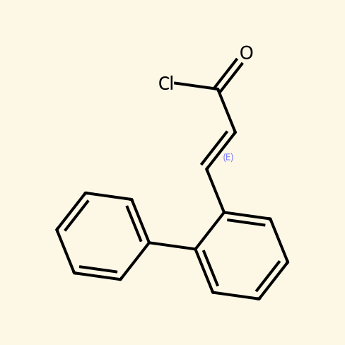 O=C(Cl)/C=C/c1ccccc1-c1ccccc1